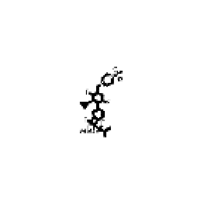 C=C(C)C(F)(F)C1(OC)c2ccc(-c3c(F)cc(CN4CCN(S(C)(=O)=O)CC4)c(F)c3C3CC3)cc2C1(F)F